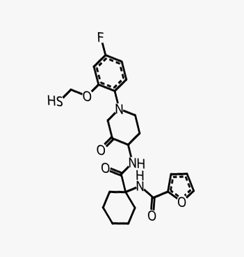 O=C(NC1(C(=O)NC2CCN(c3ccc(F)cc3OCS)CC2=O)CCCCC1)c1ccco1